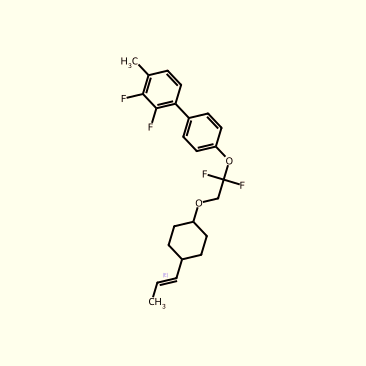 C/C=C/C1CCC(OCC(F)(F)Oc2ccc(-c3ccc(C)c(F)c3F)cc2)CC1